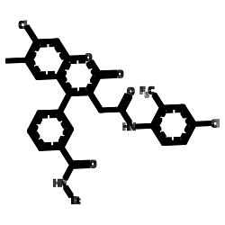 CCNC(=O)c1cccc(-c2c(CC(=O)Nc3ccc(Cl)cc3C(F)(F)F)c(=O)oc3cc(Cl)c(C)cc23)c1